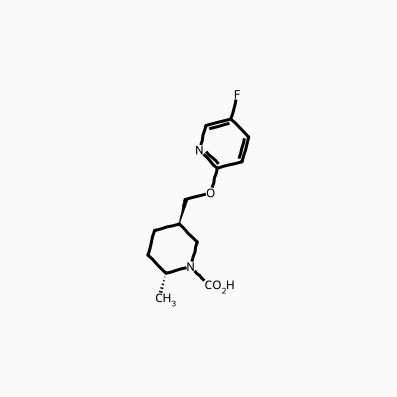 C[C@@H]1CC[C@@H](COc2ccc(F)cn2)CN1C(=O)O